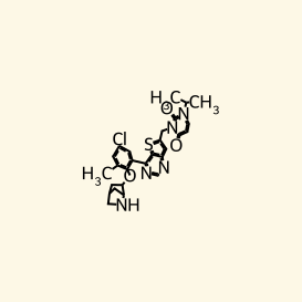 Cc1cc(Cl)cc(-c2ncnc3cc(Cn4c(=O)ccn(C(C)C)c4=O)sc23)c1OC1CC2CNC1C2